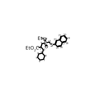 CCOC(=O)C(CC1CCCCC1)CP(=O)(CSc1ccc2ccccc2c1)OCC